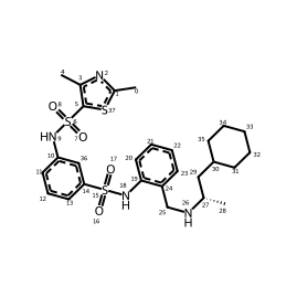 Cc1nc(C)c(S(=O)(=O)Nc2cccc(S(=O)(=O)Nc3ccccc3CN[C@@H](C)CC3CCCCC3)c2)s1